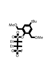 CCC(C)(C(C)(CC)S(=O)(=O)Oc1c(COC)cc(C(C)(C)C)cc1COC)S(=O)(=O)F